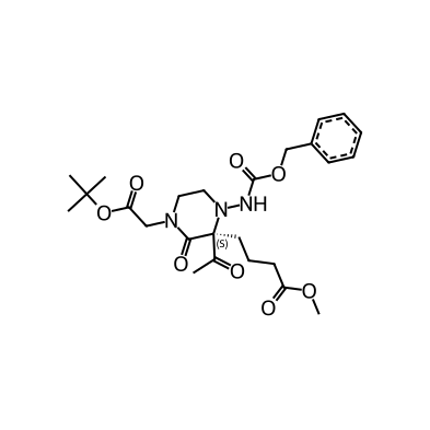 COC(=O)CCC[C@]1(C(C)=O)C(=O)N(CC(=O)OC(C)(C)C)CCN1NC(=O)OCc1ccccc1